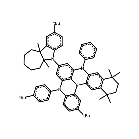 CC(C)(C)c1ccc(N2c3ccc(C(C)(C)C)cc3B3c4cc5c(cc4N(c4ccccc4)c4cc(N6c7ccc(C(C)(C)C)cc7C7(C)CCCCCC67C)cc2c43)C(C)(C)CCC5(C)C)cc1